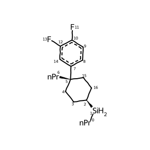 CCC[SiH2][C@H]1CC[C@](CCC)(c2ccc(F)c(F)c2)CC1